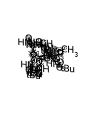 Cc1ccc(C(=O)N[C@@H](CCNC(=O)OC(C)(C)C)C(=O)N(C)[C@@H]2C(=O)N[C@@H](C)C(=O)N[C@H](c3n[nH]c(=O)[nH]3)Cc3ccc(OCCNC(=O)OC(C)(C)C)c(c3)-c3cc2ccc3OCCNC(=O)OC(C)(C)C)c(C)c1